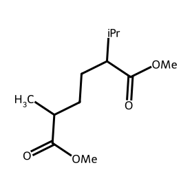 COC(=O)C(C)CCC(C(=O)OC)C(C)C